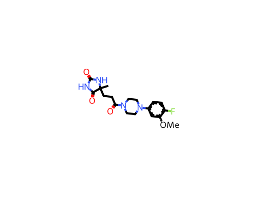 COc1cc(N2CCN(C(=O)CCC3(C)NC(=O)NC3=O)CC2)ccc1F